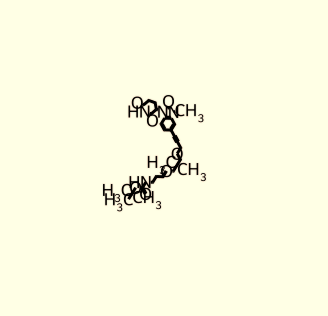 Cn1c(=O)n(C2CCC(=O)NC2=O)c2ccc(C#CCOCC(C)(C)COCCCNC(=O)OC(C)(C)C)cc21